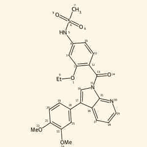 CCOc1cc(NS(C)(=O)=O)ccc1C(=O)n1cc(-c2ccc(OC)c(OC)c2)c2cccnc21